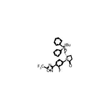 CC(C)(C)[Si](OC[C@@H]1CCC(=O)N1c1ccc(-c2noc(C(F)(F)F)n2)c(F)c1)(c1ccccc1)c1ccccc1